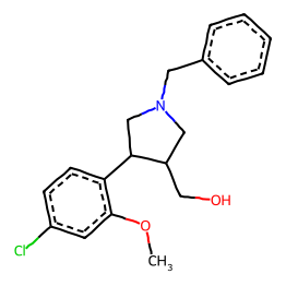 COc1cc(Cl)ccc1C1CN(Cc2ccccc2)CC1CO